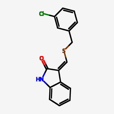 O=C1Nc2ccccc2C1=CSCc1cccc(Cl)c1